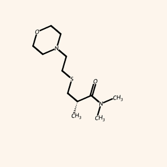 C[C@H](CSCCN1CCOCC1)C(=O)N(C)C